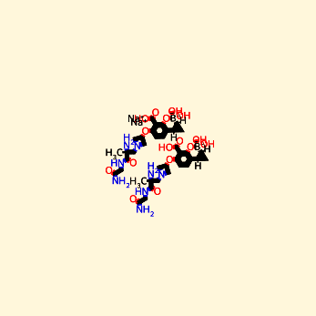 C[C@@](N)(CN1CC(Oc2ccc3c(c2C(=O)O)O[B-](O)(O)[C@H]2C[C@@H]32)C1)C(=O)NCC(N)=O.C[C@@](N)(CN1CC(Oc2ccc3c(c2C(=O)O)O[B-](O)(O)[C@H]2C[C@@H]32)C1)C(=O)NCC(N)=O.[Na+].[Na+]